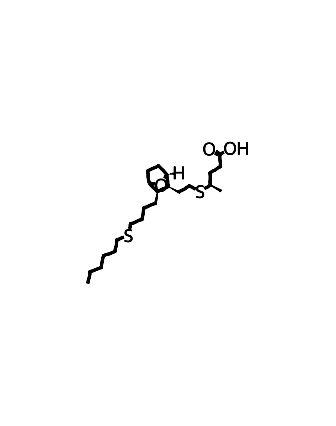 CCCCCCSCCCC[C@H]1C2CC[C@H](O2)[C@H]1CCS[C@H](C)CCC(=O)O